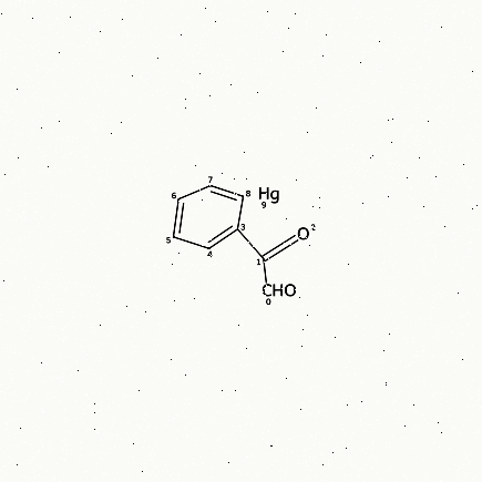 O=CC(=O)c1ccccc1.[Hg]